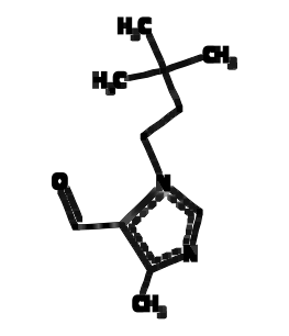 Cc1ncn(CCC(C)(C)C)c1C=O